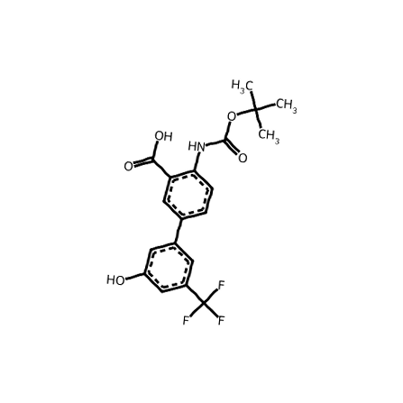 CC(C)(C)OC(=O)Nc1ccc(-c2cc(O)cc(C(F)(F)F)c2)cc1C(=O)O